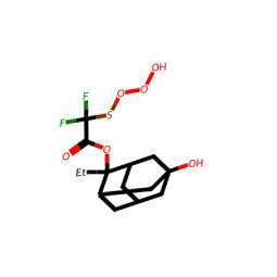 CCC1(OC(=O)C(F)(F)SOOO)C2CC3CC1CC(O)(C3)C2